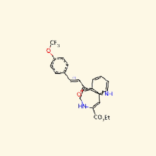 CCOC(=O)C1=CC23C(=CCN1)C=CC=C2NCC3C(=O)/C=C/c1ccc(OC(F)(F)F)cc1